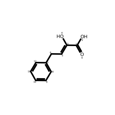 O=C(O)C(O)=CCc1ccccc1